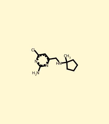 CC1(NCc2cc(Cl)nc(N)n2)CCCC1